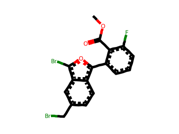 COC(=O)c1c(F)cccc1-c1oc(Br)c2cc(CBr)ccc12